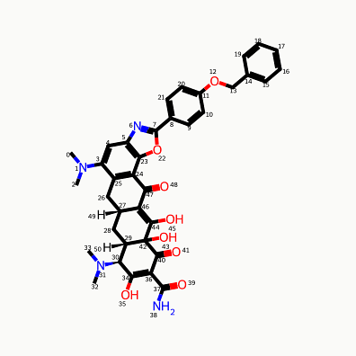 CN(C)c1cc2nc(-c3ccc(OCc4ccccc4)cc3)oc2c2c1C[C@H]1C[C@H]3[C@H](N(C)C)C(O)=C(C(N)=O)C(=O)C3(O)C(O)=C1C2=O